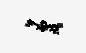 C=C1/C(=C\C=C2/CCC[C@]3(C)[C@@H]([C@H](C)CCCC(C)C(O)(F)F)CC[C@@H]23)CC(O)CC1O